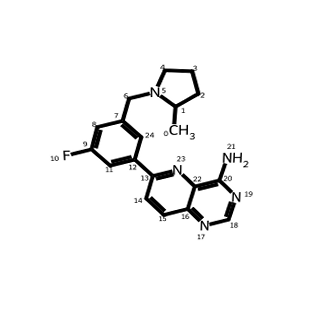 CC1CCCN1Cc1cc(F)cc(-c2ccc3ncnc(N)c3n2)c1